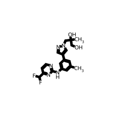 Cc1cc(Nc2nccc(C(F)F)n2)cc(-c2cnn(CC(C)(O)CO)c2)c1